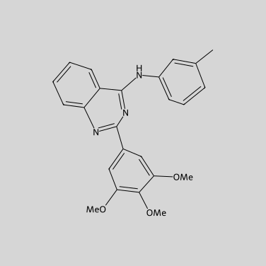 COc1cc(-c2nc(Nc3cccc(C)c3)c3ccccc3n2)cc(OC)c1OC